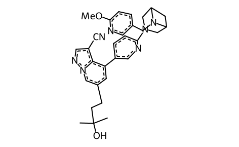 COc1ccc(CN2C3CC2CN(c2ccc(-c4cc(CCC(C)(C)O)cn5ncc(C#N)c45)cn2)C3)cn1